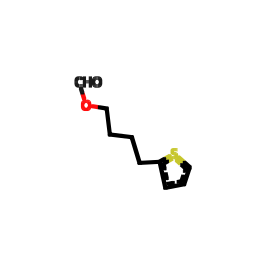 O=COCCCCc1cccs1